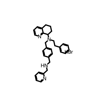 Br.c1ccc(CCN(Cc2ccc(CNCc3ccccn3)cc2)C2CCCc3cccnc32)cc1